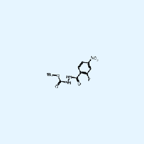 CC(C)(C)OC(=O)NNC(=O)c1ccc([N+](=O)[O-])cc1F